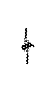 CCCCCCCOC(=O)Oc1c2ccccc2c(OC(=O)OCCCCCCC)c2cc(CC)ccc12